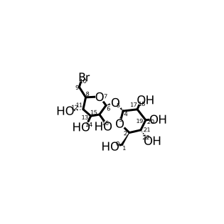 OC[C@H]1O[C@H](O[C@H]2OC(CBr)[C@@H](O)C(O)C2O)C(O)C(O)[C@@H]1O